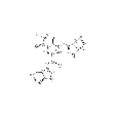 C[C@H](NC(=O)[C@H](Cc1c[nH]c2ccccc12)NC(=O)[C@@H](N)Cc1c[nH]c2ccccc12)C(=O)O